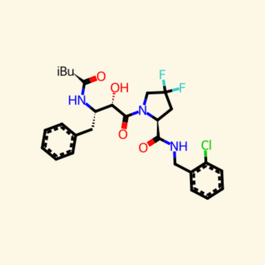 CC[C@H](C)C(=O)N[C@@H](Cc1ccccc1)[C@H](O)C(=O)N1CC(F)(F)C[C@H]1C(=O)NCc1ccccc1Cl